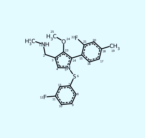 CNCc1cn(Sc2cccc(F)c2)c(-c2ccc(C)cc2F)c1OC